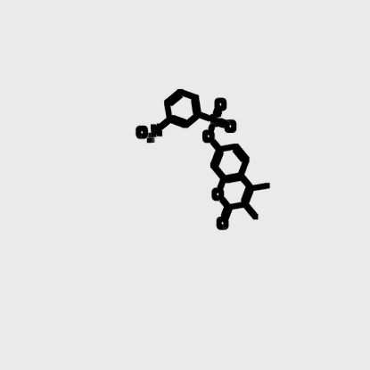 Cc1c(C)c2ccc(OS(=O)(=O)c3cccc([N+](=O)[O-])c3)cc2oc1=O